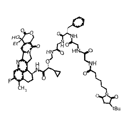 CC[C@@]1(O)C(=O)OCc2c1cc1n(c2=O)Cc2c-1nc1cc(F)c(C)c3c1c2[C@@H](NC(=O)[C@H](OCNC(=O)CNC(=O)[C@H](Cc1ccccc1)NC(=O)CNC(=O)CNC(=O)CCCCCN1C(=O)CC(C(C)(C)C)C1=O)C1CC1)CC3